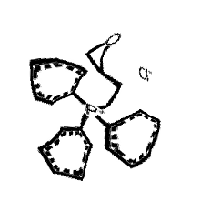 [Cl-].c1ccc([P+](CC2CO2)(c2ccccc2)c2ccccc2)cc1